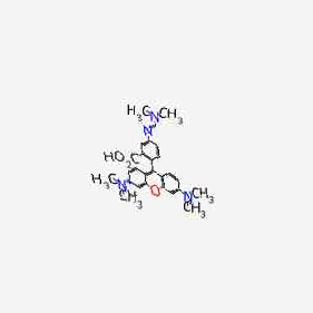 CN(C)C=Nc1ccc(-c2c3ccc(=[N+](C)C)cc-3oc3cc(N(C)C)ccc23)c(C(=O)O)c1